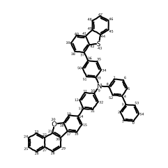 c1ccc(-c2cccc(N(c3ccc(-c4ccc5c(c4)oc4c6ccccc6ccc54)cc3)c3ccc(-c4cccc5c4sc4ccccc45)cc3)c2)cc1